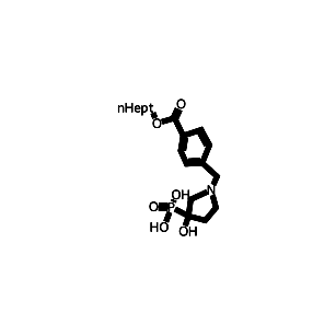 CCCCCCCOC(=O)c1ccc(CN2CCC(O)(P(=O)(O)O)C2)cc1